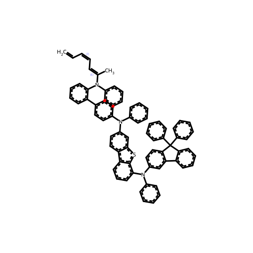 C=C/C=C\C=C(/C)N(c1ccccc1)c1ccccc1-c1ccc(N(c2ccccc2)c2ccc3c(c2)sc2c(N(c4ccccc4)c4ccc5c(c4)-c4ccccc4C5(c4ccccc4)c4ccccc4)cccc23)cc1